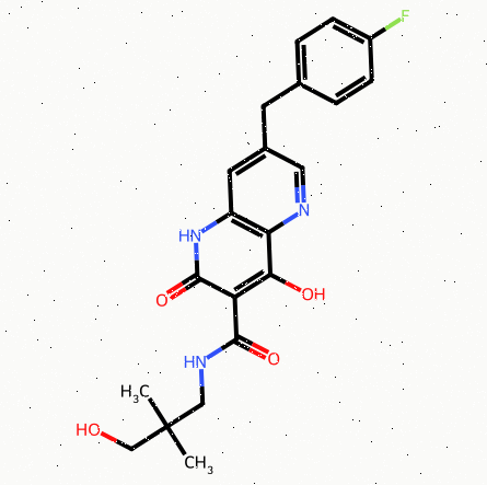 CC(C)(CO)CNC(=O)c1c(O)c2ncc(Cc3ccc(F)cc3)cc2[nH]c1=O